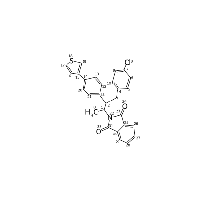 CC(C(Cc1ccc(Cl)cc1)c1ccc(-c2ccsc2)cc1)N1C(=O)c2ccccc2C1=O